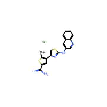 CSc1sc(C(=N)N)cc1-c1csc(Nc2cnc3ccccc3c2)n1.Cl